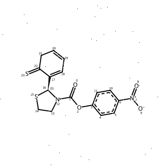 O=C(Oc1ccc([N+](=O)[O-])cc1)N1CCS[C@H]1C1=CC=CCC1=S